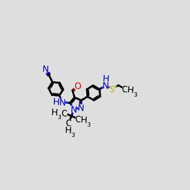 CCSNc1ccc(-c2nn(C(C)(C)C)c(Nc3ccc(C#N)cc3)c2C=O)cc1